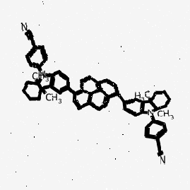 CC12CCCCC1(C)N(c1ccc(C#N)cc1)c1ccc(-c3ccc4c5c6c(ccc35)C=CC(c3ccc5c(c3)C3(C)CCCCC3(C)N5c3ccc(C#N)cc3)C6=CC4)cc12